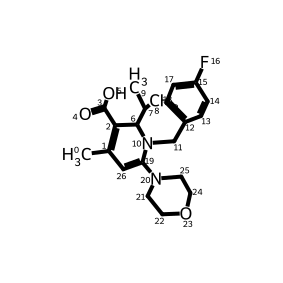 CC1=C(C(=O)O)C(C(C)C)N(Cc2ccc(F)cc2)C(N2CCOCC2)=C1